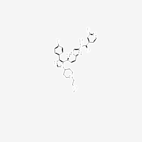 COCCN1CCC(n2cnc(-c3ccc(F)cc3)c2-c2ccc3nc(NC(=O)c4ccnc(F)c4)cn3n2)CC1